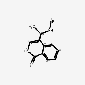 CCCN[C@H](C)c1c[nH]c(=O)c2ccccc12